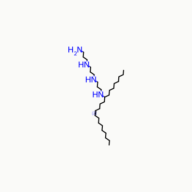 CCCCCCCC/C=C\CCCC(CCCCCCCC)NCCCNCCCNCCCN